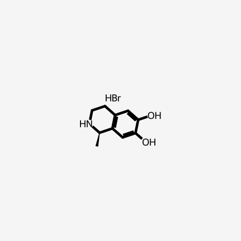 Br.C[C@H]1NCCc2cc(O)c(O)cc21